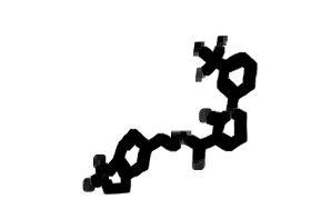 O=C(NCCc1ccc2c(c1)CCS2(=O)=O)c1cccn(-c2cccc(C(F)(F)F)c2)c1=O